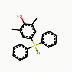 Cc1cc(S(Cl)(c2ccccc2)c2ccccc2)cc(C)c1O